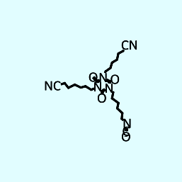 N#CCCCCCCn1c(=O)n(CCCCCCC#N)c(=O)n(CCCCCCN=C=O)c1=O